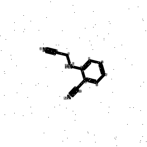 N#CCNc1ccccc1C#N